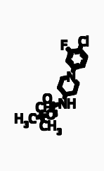 CC(C)(C)OC(=O)NC1CCN(c2ccc(Cl)c(F)c2)CC1